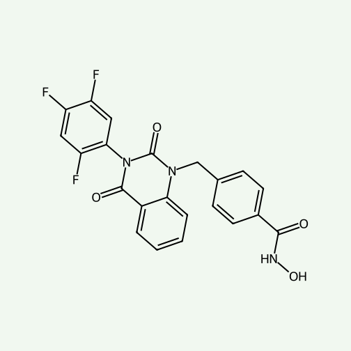 O=C(NO)c1ccc(Cn2c(=O)n(-c3cc(F)c(F)cc3F)c(=O)c3ccccc32)cc1